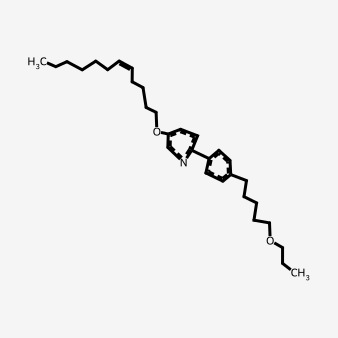 CCCCCC/C=C\CCCCOc1ccc(-c2ccc(CCCCCOCCC)cc2)nc1